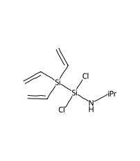 C=C[Si](C=C)(C=C)[Si](Cl)(Cl)NC(C)C